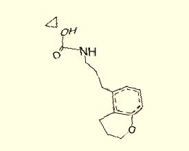 C1CC1.O=C(O)NCCCc1cccc2c1CCCO2